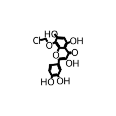 O=c1c(O)c(-c2ccc(O)c(O)c2)oc2c(OCCl)c(O)cc(O)c12